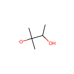 CC(O)C(C)(C)[O]